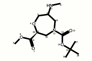 CNC1CO[C@H](C(=O)OC)CN(C(=O)OC(C)(C)C)C1